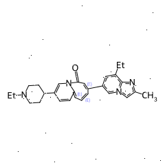 CCc1cc(C2=C\C(=O)N3C=C(C4CCN(CC)CC4)C=C\C3=C/C=C/2)cn2cc(C)nc12